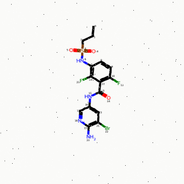 CCCS(=O)(=O)Nc1ccc(F)c(C(=O)Nc2cnc(N)c(Br)c2)c1F